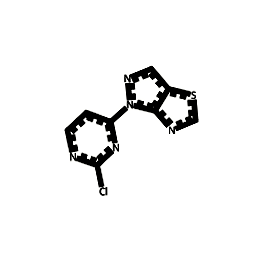 Clc1nccc(-n2ncc3scnc32)n1